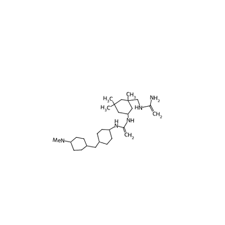 C=C(N)NCC1(C)CC(NC(=C)NC2CCC(CC3CCC(NC)CC3)CC2)CC(C)(C)C1